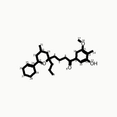 CCCC1(CCCC(=O)C2C=C(O)C(C)=C(OC)C2)CC(C)CC(C2=CCCCC2)O1